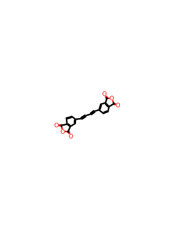 O=C1OC(=O)c2cc(C#CC#Cc3ccc4c(c3)C(=O)OC4=O)ccc21